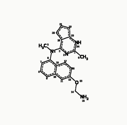 Cc1nc(N(C)c2cccc3cc(OCN)ccc23)c2cccc-2[nH]1